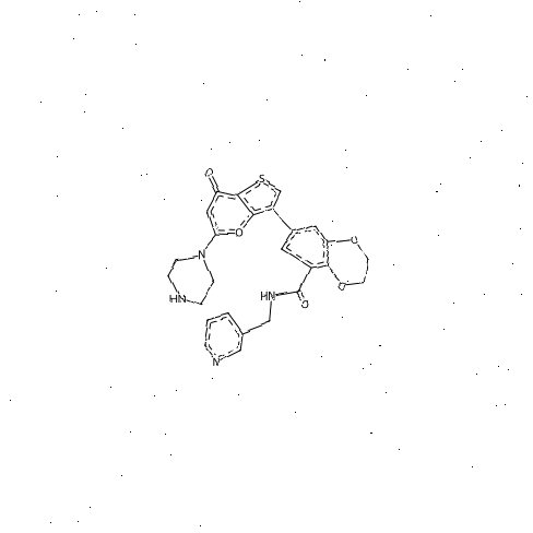 O=C(NCc1cccnc1)c1cc(-c2csc3c(=O)cc(N4CCNCC4)oc23)cc2c1OCCO2